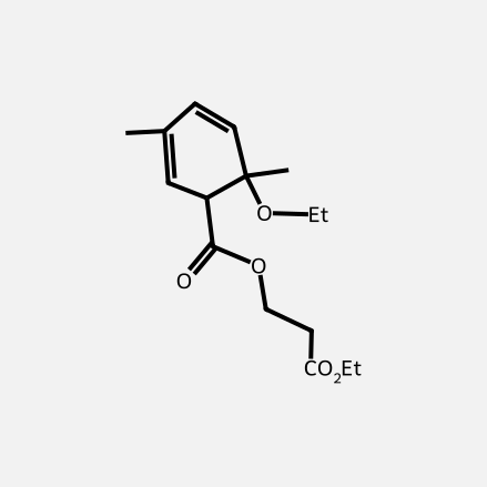 CCOC(=O)CCOC(=O)C1C=C(C)C=CC1(C)OCC